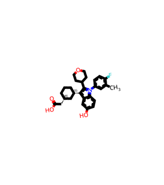 Cc1cc(-n2c(C3CCOCC3)c([C@H]3CCC[C@@H](CC(=O)O)C3)c3cc(O)ccc32)ccc1F